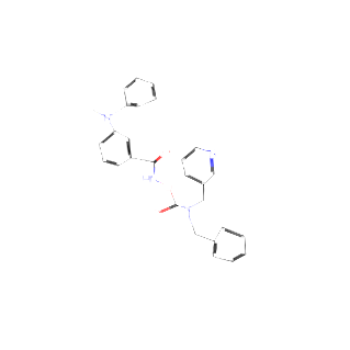 CN(c1ccccc1)c1cccc(C(=O)NOC(=O)N(Cc2ccccc2)Cc2cccnc2)c1